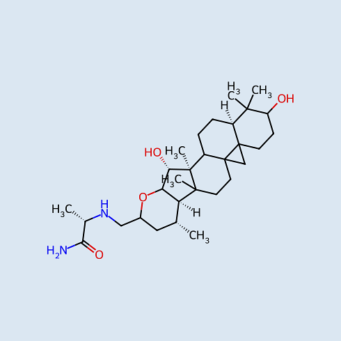 C[C@H](NCC1C[C@@H](C)[C@H]2C(O1)[C@H](O)[C@@]1(C)C3CC[C@H]4C(C)(C)C(O)CCC45CC35CCC21C)C(N)=O